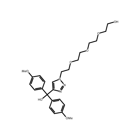 COc1ccc(C(O)(c2ccc(OC)cc2)c2cn(CCOCCOCCOCCO)nn2)cc1